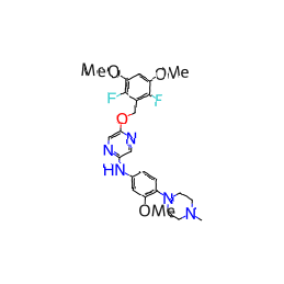 COc1cc(Nc2cnc(OCc3c(F)c(OC)cc(OC)c3F)cn2)ccc1N1CCN(C)CC1